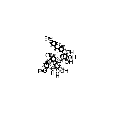 CCOc1ccc(Cc2cc([C@@H]3O[C@H](CO[C@@]4(c5ccc(Cl)c(Cc6ccc(OCC)cc6)c5)O[C@H](CO)[C@@H](O)[C@H](O)[C@H]4O)[C@@H](O)[C@H](O)[C@H]3O)ccc2Cl)cc1